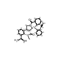 COC(=O)[C@H]1CN(C(=O)c2ccccc2Sc2ccccc2C#N)C[C@@H]1c1cccc(C(=N)N)c1